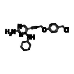 Nc1ncc(C#CCOc2ccc(CCl)cc2)c(NC2CCCCC2)n1